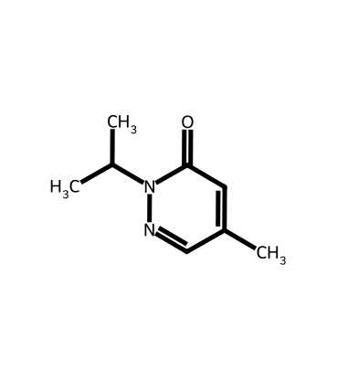 Cc1cnn(C(C)C)c(=O)c1